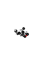 Cc1cccc(F)c1C(=O)N1C2CCCC2CC(C(=O)Nc2ccc3c(cnn3C3CCOCC3)c2)C1c1ccc(NC2CCCC2)cc1